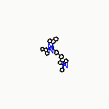 c1ccc(-c2nc3ccccc3c3c(-c4cccc(-c5ccc(-c6cc(-c7cc8ccccc8c8ccccc78)nc(-c7cc8ccccc8c8ccccc78)n6)cc5)c4)cccc23)cc1